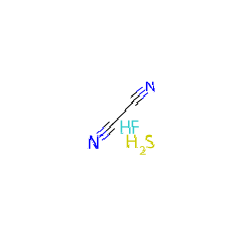 F.N#CC#N.S